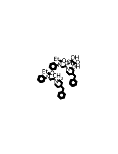 CCC(=O)N(C[C@H](C)N1CCC(Cc2ccccc2)CC1)c1ccccc1.CCC(=O)N(C[C@H](C)N1CCC(Cc2ccccc2)CC1)c1ccccc1.O=C(O)C(=O)O